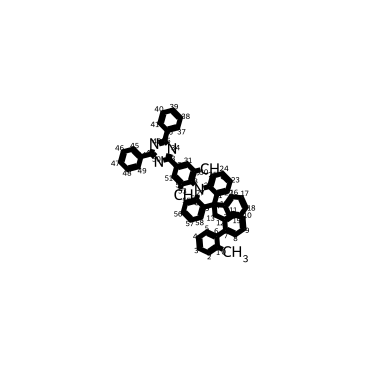 Cc1ccccc1-c1ccccc1CC1(c2ccccc2)c2ccccc2N(c2c(C)cc(-c3nc(-c4ccccc4)nc(-c4ccccc4)n3)cc2C)c2ccccc21